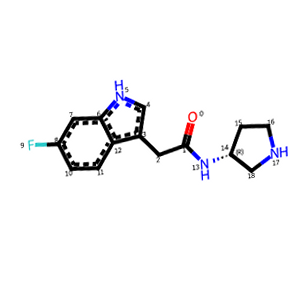 O=C(Cc1c[nH]c2cc(F)ccc12)N[C@@H]1CCNC1